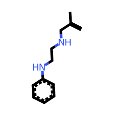 C=C(C)CNCCNc1ccccc1